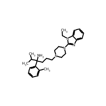 CCn1c(N2CCN(CCCC(N)(c3ccccc3C)C(C)C)CC2)nc2ccccc21